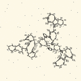 c1ccc2cc(-c3c4ccccc4c(-c4cc5c6c(c4)Oc4cc(-n7c8ccccc8c8ccccc87)ccc4B6c4ccc(-n6c7ccccc7c7ccccc76)cc4O5)c4ccccc34)ccc2c1